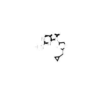 Nc1ncc2sc(=O)n([C@H]3CS[C@@H](CC4CC4)O3)c2n1